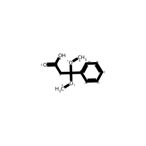 COC(CC(=O)O)(OC)c1ccccc1